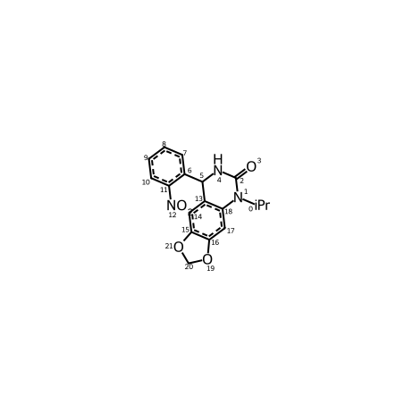 CC(C)N1C(=O)NC(c2ccccc2[N+](=O)[O-])c2cc3c(cc21)OCO3